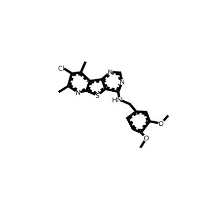 COc1ccc(CNc2ncnc3c2sc2nc(C)c(Cl)c(C)c23)cc1OC